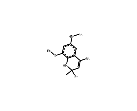 CCSc1cc(NC(C)CC)cc2c1NC(C)(CC)C=C2CC